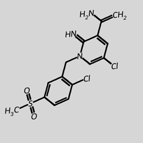 C=C(N)c1cc(Cl)cn(Cc2cc(S(C)(=O)=O)ccc2Cl)c1=N